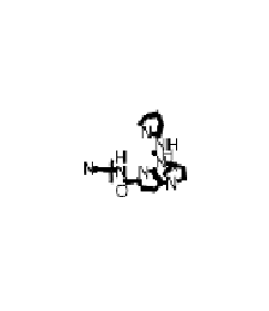 CC(C)(C#N)NC(=O)c1ccc2c(n1)N(CNc1ccccn1)[C@H]1CCN2C1